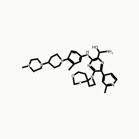 Cc1cc(-c2nc(C(N)O)c(Nc3ccc(N4CCC(N5CCN(C)CC5)CC4)c(C)c3)nc2N2CCC23CCOCC3)ccn1